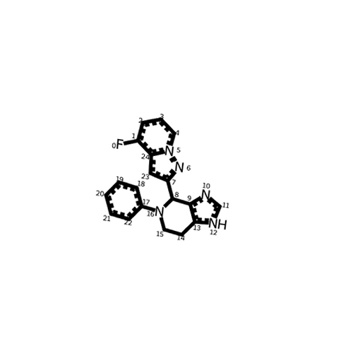 Fc1cccn2nc(C3c4nc[nH]c4CCN3c3ccccc3)cc12